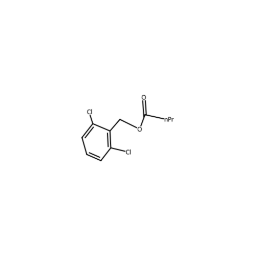 CCCC(=O)OCc1c(Cl)cccc1Cl